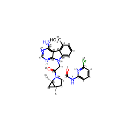 C[C@@]12C[C@@H](C(=O)Nc3cccc(Br)n3)N(C(=O)Cn3c4cccc(C(=O)O)c4c4c(N)ncnc43)[C@@H]1C2